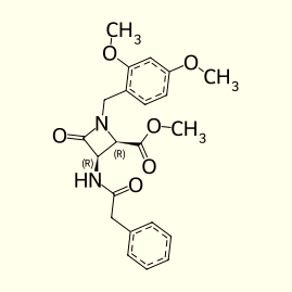 COC(=O)[C@H]1[C@@H](NC(=O)Cc2ccccc2)C(=O)N1Cc1ccc(OC)cc1OC